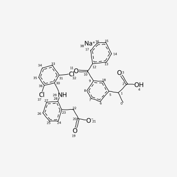 CC(C(=O)O)c1cccc(C(=O)c2ccccc2)c1.O=C([O-])Cc1ccccc1Nc1c(Cl)cccc1Cl.[Na+]